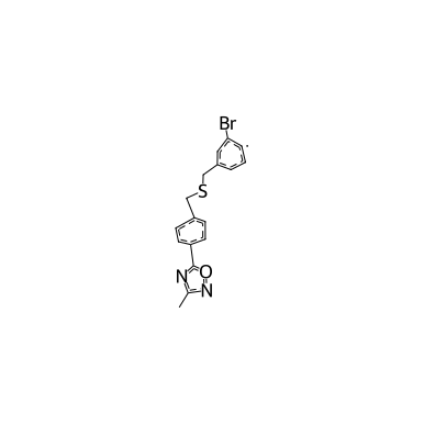 Cc1noc(-c2ccc(CSCc3cc[c]c(Br)c3)cc2)n1